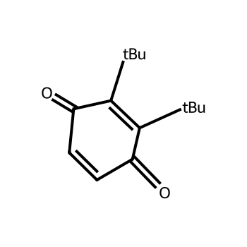 CC(C)(C)C1=C(C(C)(C)C)C(=O)C=CC1=O